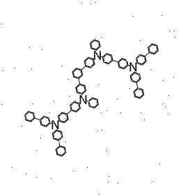 c1ccc(-c2ccc(N(c3ccc(-c4ccccc4)cc3)c3ccc(-c4ccc(N(c5ccccc5)c5ccc(-c6cccc(-c7ccc(N(c8ccccc8)c8ccc(-c9ccc(N(c%10ccc(-c%11ccccc%11)cc%10)c%10ccc(-c%11ccccc%11)cc%10)cc9)cc8)cc7)c6)cc5)cc4)cc3)cc2)cc1